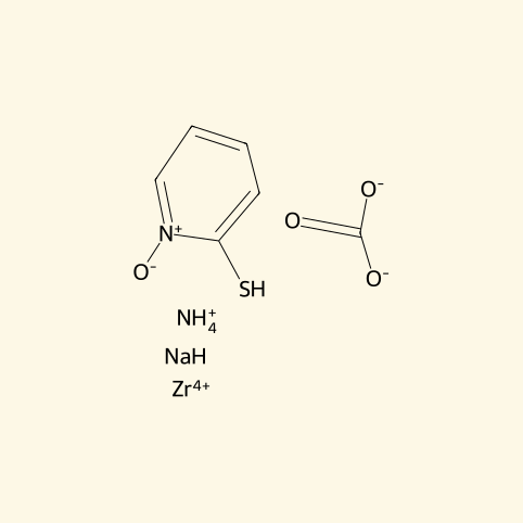 O=C([O-])[O-].[NH4+].[NaH].[O-][n+]1ccccc1S.[Zr+4]